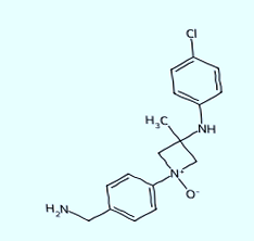 CC1(Nc2ccc(Cl)cc2)C[N+]([O-])(c2ccc(CN)cc2)C1